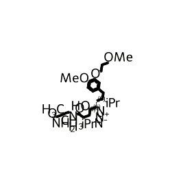 COCCCOc1cc(C[C@@H](C[C@H](N=[N+]=[N-])[C@@H](O)CC(C(=O)NCC(C)(C)C(N)=O)C(C)C)C(C)C)ccc1OC